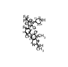 CNc1ncc2cc(-c3cc(N(OC(=O)C(F)(F)F)C(=O)NC4CCNCC4)c(F)cc3C)c(=O)n(C)c2n1